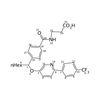 CCCCCCC(Oc1ccc(-c2ccc(C(F)(F)F)cc2)nc1)c1ccc(C(=O)NCCC(=O)O)cc1